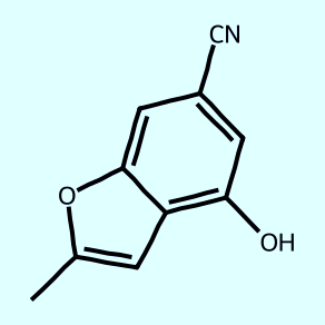 Cc1cc2c(O)cc(C#N)cc2o1